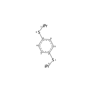 CC(C)Sc1[c]cc(SC(C)C)cc1